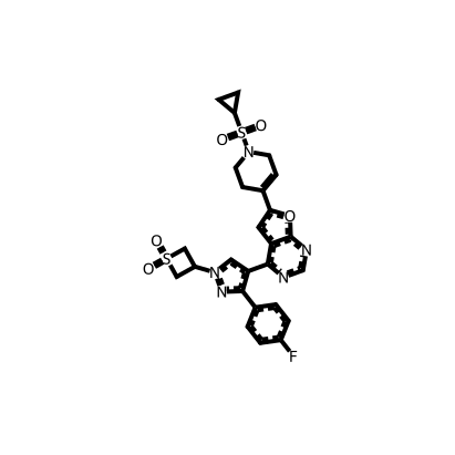 O=S1(=O)CC(n2cc(-c3ncnc4oc(C5=CCN(S(=O)(=O)C6CC6)CC5)cc34)c(-c3ccc(F)cc3)n2)C1